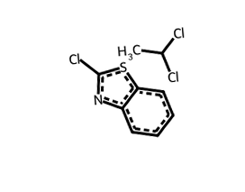 CC(Cl)Cl.Clc1nc2ccccc2s1